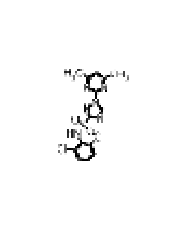 Cc1cc(C)nc(-n2cnc(S(=O)(=O)Nc3c(Cl)cccc3Cl)n2)n1